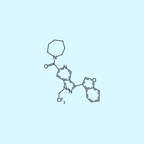 O=C(c1cc2c(cn1)c(-c1coc3ccccc13)nn2CC(F)(F)F)N1CCCCCC1